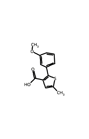 COc1cccc(-c2sc(C)cc2C(=O)O)c1